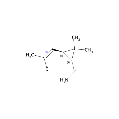 C/C(Cl)=C/[C@@H]1[C@@H](CN)C1(C)C